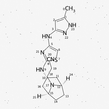 Cc1cc(Nc2csc(N[C@@H]3C[C@H]4CC[C@@H](C3)N4CCC#N)n2)n[nH]1